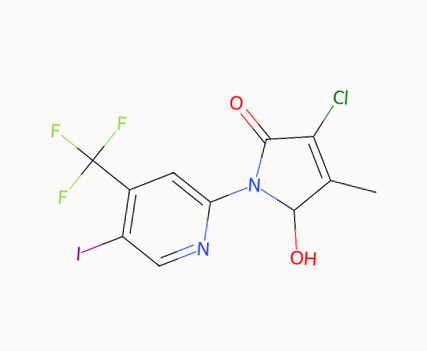 CC1=C(Cl)C(=O)N(c2cc(C(F)(F)F)c(I)cn2)C1O